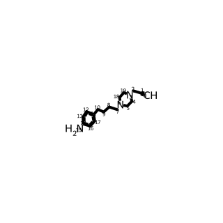 C#CCN1CCN(CCCCc2ccc(N)cc2)CC1